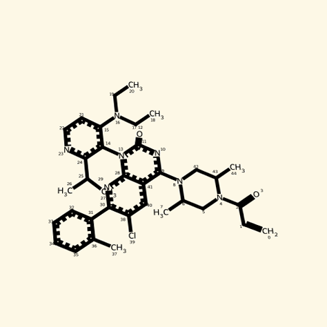 C=CC(=O)N1CC(C)N(c2nc(=O)n(-c3c(N(CC)CC)ccnc3C(C)C)c3nc(-c4ccccc4C)c(Cl)cc23)CC1C